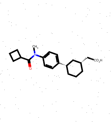 CN(C(=O)C1CCC1)c1ccc([C@H]2CCC[C@@H](CC(=O)O)C2)cc1